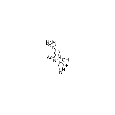 CC(=O)c1nc(-c2cc3cn(C)nc3c(F)c2O)nc2ccc(N3C[C@@H](C)N[C@H](C)C3)cc12